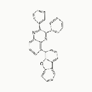 c1ccc(-c2nc3cccc(-c4cccc5c4oc4ccccc45)c3nc2-c2ccccc2)cc1